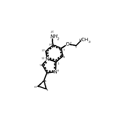 CCOc1cc2nc(C3CC3)cn2cc1N